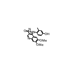 COc1cc2ncc(C(N)=O)c(Nc3ccc(O)cc3C)c2cc1OC